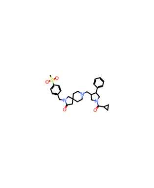 CS(=O)(=O)c1ccc(CN2CC3(CCN(CC4CN(C(=O)C5CC5)CC4c4ccccc4)CC3)CC2=O)cc1